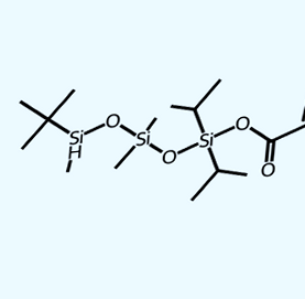 C=CC(=O)O[Si](O[Si](C)(C)O[SiH](C)C(C)(C)C)(C(C)C)C(C)C